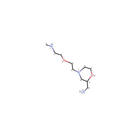 CNCCOCCN1CCOC(CN)C1